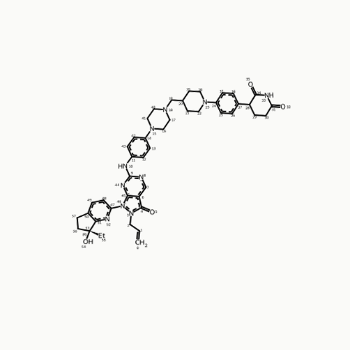 C=CCn1c(=O)c2cnc(Nc3ccc(N4CCN(CC5CCN(c6ccc(C7CCC(=O)NC7=O)cc6)CC5)CC4)cc3)nc2n1-c1ccc2c(n1)[C@@](O)(CC)CC2